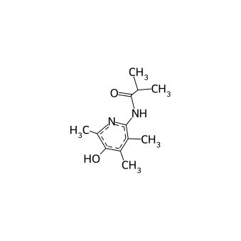 Cc1nc(NC(=O)C(C)C)c(C)c(C)c1O